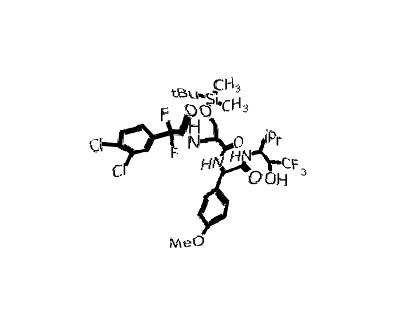 COc1ccc(C(NC(=O)C(CO[Si](C)(C)C(C)(C)C)NC(=O)C(F)(F)c2ccc(Cl)c(Cl)c2)C(=O)NC(C(C)C)C(O)C(F)(F)F)cc1